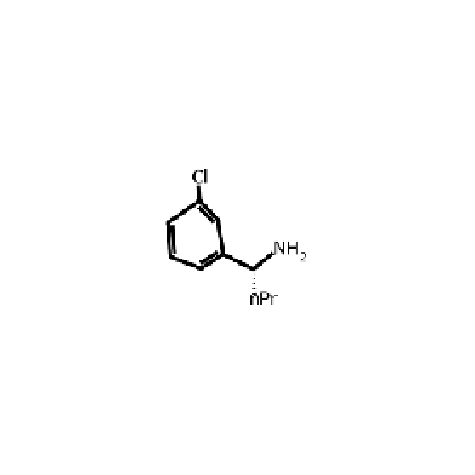 CCC[C@@H](N)c1cccc(Cl)c1